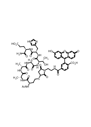 CC(=O)N[C@H](CCSC1CC(=O)N(CCNC(=O)c2ccc(C(=O)O)c(-c3c4ccc(=O)cc-4oc4cc(O)ccc34)c2)C1=O)C(=O)N[C@H](C)C(=O)N[C@H](C)C(=O)N[C@H](C)C(=O)N[C@@H](C(=O)N[C@H](Cc1c[nH]cn1)C(=O)N[C@H](CCC(=O)O)C(N)=O)[C@H](C)O